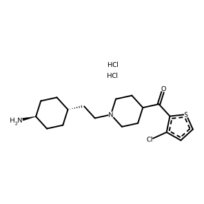 Cl.Cl.N[C@H]1CC[C@H](CCN2CCC(C(=O)c3sccc3Cl)CC2)CC1